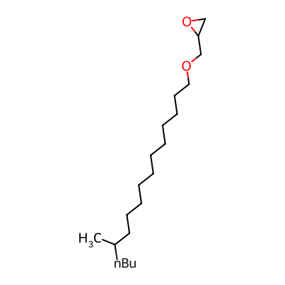 CCCCC(C)CCCCCCCCCCCOCC1CO1